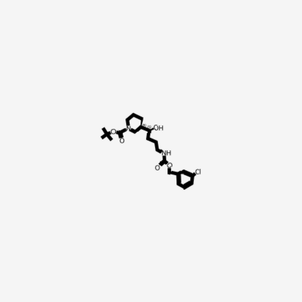 CC(C)(C)OC(=O)N1CCC[C@@H]([C@@H](O)CCCNC(=O)OCc2cccc(Cl)c2)C1